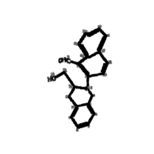 O=Cc1c(N2Cc3ccccc3CC2CO)ccc2ccccc12